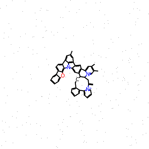 C=C1CC2C(CCc3ccccc3-c3cccc[n+]31)c1cc3c(cc1-c1cc(C)c(C)c[n+]12)c1cc(C)cc2c4ccc5c6ccccc6oc5c4n3c12